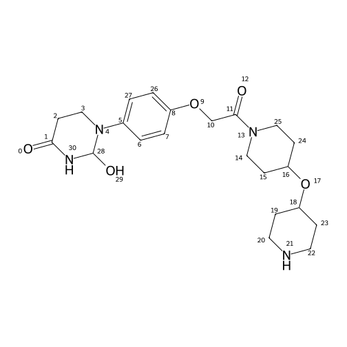 O=C1CCN(c2ccc(OCC(=O)N3CCC(OC4CCNCC4)CC3)cc2)C(O)N1